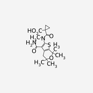 CN(C(=O)C1(C(=O)O)CC1)c1sc2c(c1C(N)=O)CC(C)(C)OC2(C)C